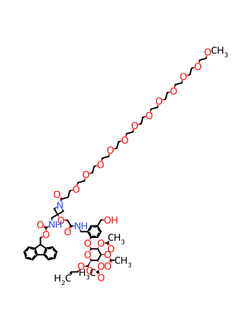 C=CCOC(=O)[C@H]1O[C@@H](Oc2ccc(CO)cc2CNC(=O)COC2(CNC(=O)OCC3c4ccccc4-c4ccccc43)CN(C(=O)CCOCCOCCOCCOCCOCCOCCOCCOCCOCCOCCOCCOC)C2)[C@H](OC(C)=O)[C@@H](OC(C)=O)[C@@H]1OC(C)=O